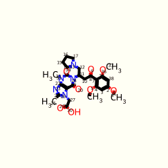 COc1cc(OC)c(C(=O)CC(CN2CCCC2)n2c(=O)c3c(nc(C)n3CC(=O)O)n(C)c2=O)c(OC)c1